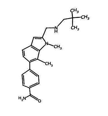 Cc1c(-c2ccc(C(N)=O)cc2)ccc2cc(CNCC(C)(C)C)n(C)c12